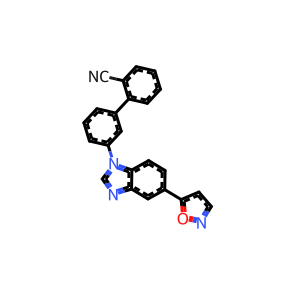 N#Cc1ccccc1-c1cccc(-n2cnc3cc(-c4ccno4)ccc32)c1